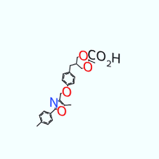 Cc1ccc(-c2nc(COc3ccc(CC4COC(C)(C(=O)O)OC4)cc3)c(C)o2)cc1